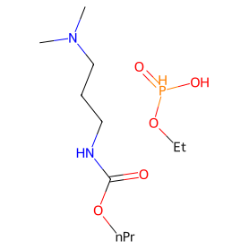 CCCOC(=O)NCCCN(C)C.CCO[PH](=O)O